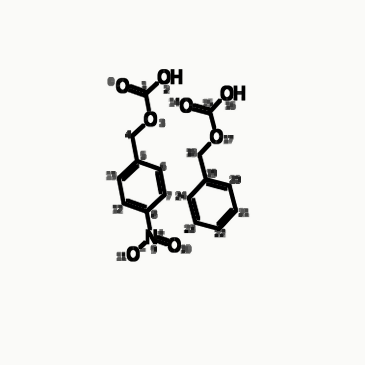 O=C(O)OCc1ccc([N+](=O)[O-])cc1.O=C(O)OCc1ccccc1